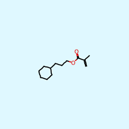 C=C(C)C(=O)OCCCC1CCCCC1